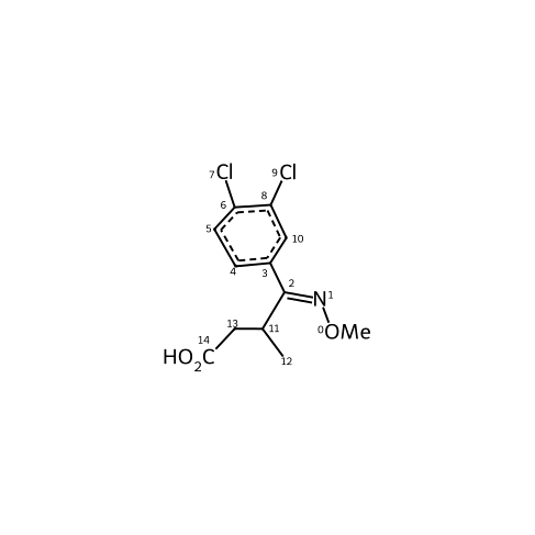 CON=C(c1ccc(Cl)c(Cl)c1)C(C)CC(=O)O